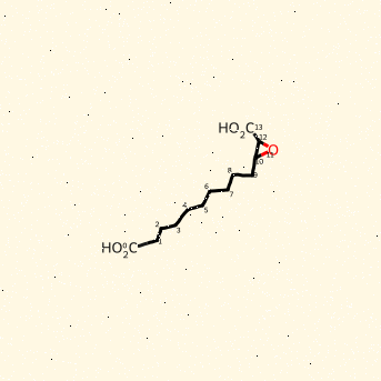 O=C(O)CCCCCCCCCC1OC1C(=O)O